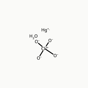 O.[Hg+].[O-][Cl+3]([O-])([O-])[O-]